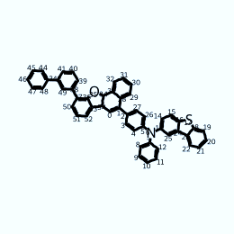 C1=C(c2ccc(N(c3ccccc3)c3ccc4sc5ccccc5c4c3)cc2)c2ccccc2C2Oc3c(-c4cccc(-c5ccccc5)c4)cccc3C12